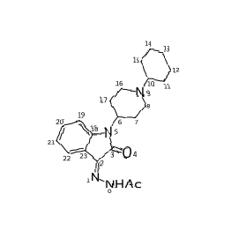 CC(=O)N/N=C1\C(=O)N(C2CCN(C3CCCCC3)CC2)c2ccccc21